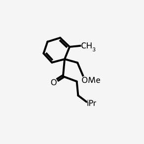 COCC1(C(=O)CCC(C)C)C=CCC=C1C